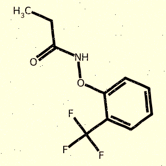 CCC(=O)NOc1ccccc1C(F)(F)F